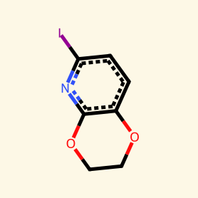 Ic1ccc2c(n1)OCCO2